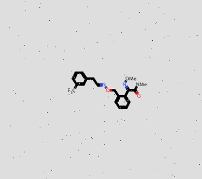 CNC(=O)C(=NOC)c1ccccc1CON=CCc1cccc(C(F)(F)F)c1